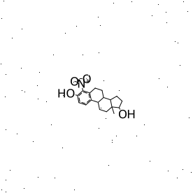 CC12CCC3c4ccc(O)c([N+](=O)[O-])c4CCC3C1CCC2O